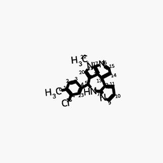 Cc1ccc(C2Nc3ncccc3-c3ccnc4c3c2cn4C)cc1Cl